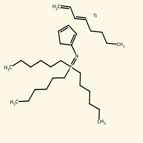 C=CC=CCCCC.CCCCCCP(CCCCCC)(CCCCCC)=NC1=CC=CC1.[Ti]